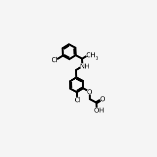 CC(NCc1ccc(Cl)c(OCC(=O)O)c1)c1cccc(Cl)c1